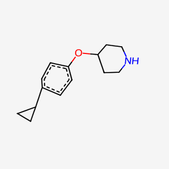 c1cc(C2CC2)ccc1OC1CCNCC1